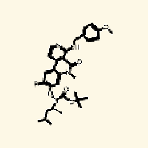 COc1ccc(CNc2nccc3c2c(=O)n(C)c2cc(ON(C(=O)OC(C)(C)C)[C@@H](C)CC(C)C)c(F)cc32)cc1